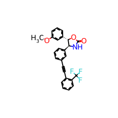 COc1cccc([C@@H]2OC(=O)N[C@H]2c2cccc(C#Cc3ccccc3C(F)(F)F)c2)c1